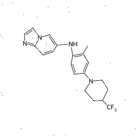 Cc1cc(N2CCC(C(F)(F)F)CC2)ccc1Nc1ccc2nccn2c1